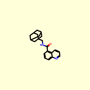 O=C(NCC12CC3CC(CC(C3)C1)C2)c1cccc2ncccc12